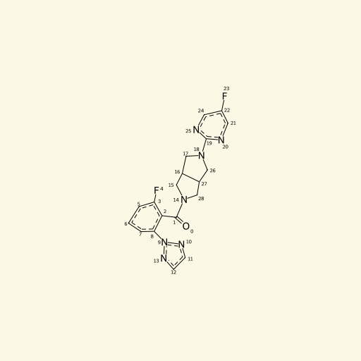 O=C(c1c(F)cccc1-n1nccn1)N1CC2CN(c3ncc(F)cn3)CC2C1